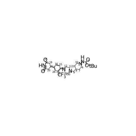 CC(C)(C)OC(=O)NN1CCC(CN2CCN(c3ccc(C4CC(=O)NC(=O)C4)cc3C(F)(F)F)CC2)CC1